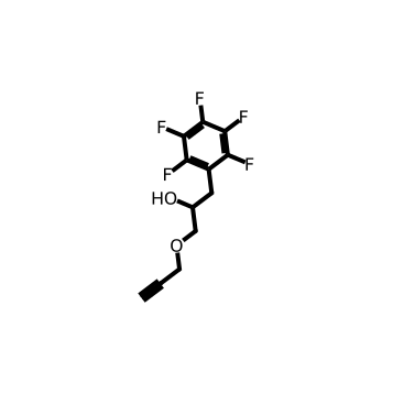 C#CCOCC(O)Cc1c(F)c(F)c(F)c(F)c1F